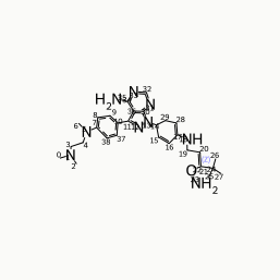 CN(C)CCN(C)c1ccc(-c2nn(C3C=CC(NC/C=C(\ON)C(C)(C)C)=CC3)c3ncnc(N)c23)cc1